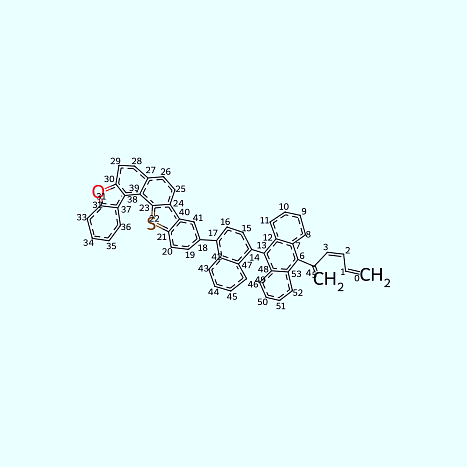 C=C/C=C\C(=C)c1c2ccccc2c(-c2ccc(-c3ccc4sc5c(ccc6ccc7oc8ccccc8c7c65)c4c3)c3ccccc23)c2ccccc12